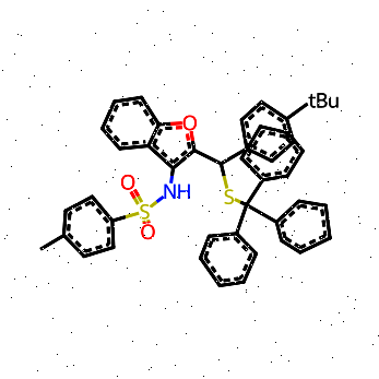 Cc1ccc(S(=O)(=O)Nc2c(C(SC(c3ccccc3)(c3ccccc3)c3ccccc3)c3ccc(C(C)(C)C)cc3)oc3ccccc23)cc1